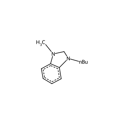 CCCCN1CN(C)c2ccccc21